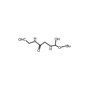 CC(C)(C)OC(O)NCC(=O)NCC=O